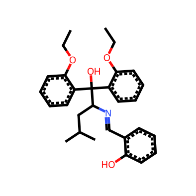 CCOc1ccccc1C(O)(c1ccccc1OCC)C(CC(C)C)N=Cc1ccccc1O